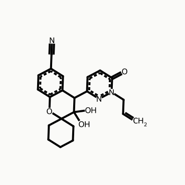 C=CCn1nc(C2c3cc(C#N)ccc3OC3(CCCCC3)C2(O)O)ccc1=O